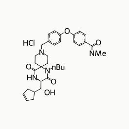 CCCCN1C(=O)[C@@H]([C@H](O)C2CC=CC2)NC(=O)C12CCN(Cc1ccc(Oc3ccc(C(=O)NC)cc3)cc1)CC2.Cl